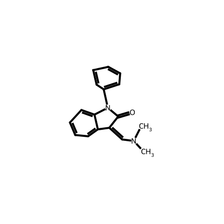 CN(C)/C=C1\C(=O)N(c2ccccc2)c2ccccc21